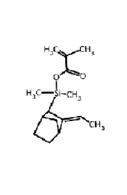 C=C(C)C(=O)O[Si](C)(C)C1C(=CC)C2CCC1C2